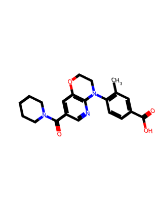 Cc1cc(C(=O)O)ccc1N1CCOc2cc(C(=O)N3CCCCC3)cnc21